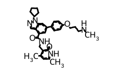 CNCCCOc1ccc(-c2cc(C(=O)NCc3c(C)cc(C)[nH]c3=O)c3cnn(C4CCCC4)c3c2)cc1